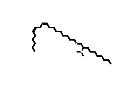 CCCCC/C=C\C/C=C\CCCCCCCCOCC(CCCCCCCC)N(C)C